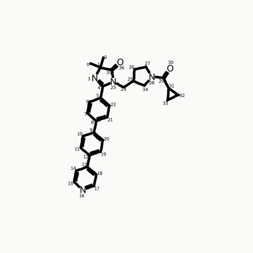 CC1(C)N=C(c2ccc(-c3ccc(-c4ccncc4)cc3)cc2)N(CC2CCN(C(=O)C3CC3)C2)C1=O